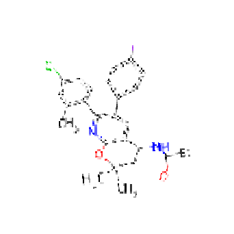 CCC(=O)NC1CC(C)(C)Oc2nc(-c3ccc(Cl)cc3C)c(-c3ccc(I)cc3)cc21